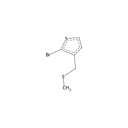 CSCc1ccsc1Br